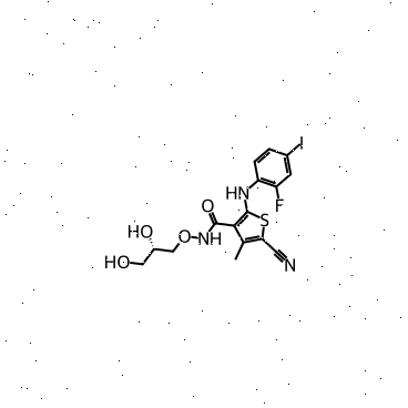 Cc1c(C#N)sc(Nc2ccc(I)cc2F)c1C(=O)NOC[C@@H](O)CO